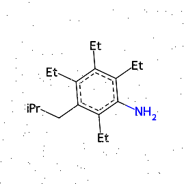 CCc1c(N)c(CC)c(CC(C)C)c(CC)c1CC